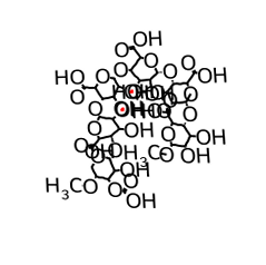 CO[C@H]1OC(C(=O)O)[C@H](O[C@@H]2OC(C(=O)O)[C@@H](O[C@H]3OC(C(=O)O)[C@H](O[C@@H]4OC(C(=O)O)[C@@H](O[C@H]5OC(C(=O)O)[C@H](O[C@@H]6OC[C@@H](OC)C(OC(=O)O)C6O)C(O)C5O)C(O)C4O)C(O)C3O)C(O)C2O)C(O)C1O